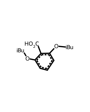 CCC(C)Oc1cccc(OC(C)CC)c1C(=O)O